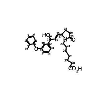 Cc1ccccc1Oc1cccc(C(O)C=C[C@H]2CCC(=O)N2CCCCCCC(=O)O)c1